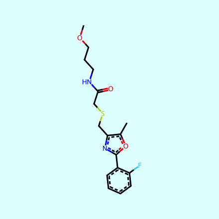 COCCCNC(=O)CSCc1nc(-c2ccccc2F)oc1C